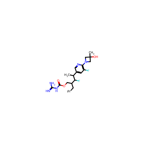 CC(C)CC(COC(=O)NC(=N)N)C(F)C(C)c1cnc(N2CC(C)(O)C2)c(F)c1